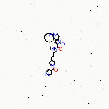 O=C(NCCCCC1CCN(C(=O)c2ccncc2)CC1)c1cc2c([nH]1)CCNC21CCCCCCCCC1